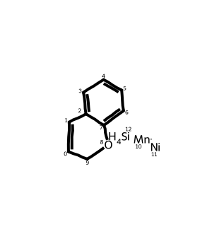 C1=Cc2ccccc2OC1.[Mn].[Ni].[SiH4]